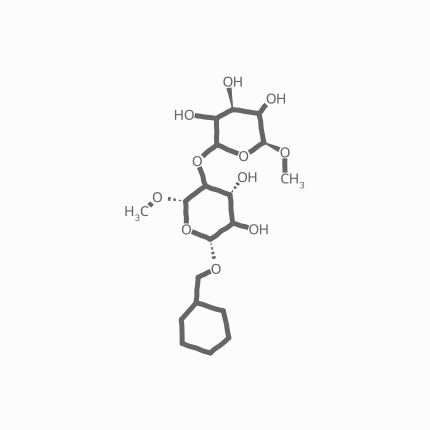 CO[C@H]1OC(OC2[C@@H](OC)O[C@@H](OCC3CCCCC3)C(O)[C@H]2O)C(O)[C@@H](O)C1O